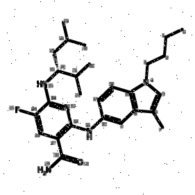 CCCCn1cc(C)c2cc(Nc3nc(N[C@H](CC(C)C)C(C)C)c(F)cc3C(N)=O)ccc21